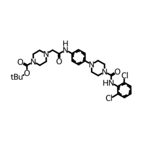 CC(C)(C)OC(=O)N1CCN(CC(=O)Nc2ccc(N3CCN(C(=O)Nc4c(Cl)cccc4Cl)CC3)cc2)CC1